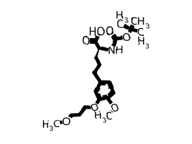 COCCCOc1cc(CCC[C@H](NC(=O)OC(C)(C)C)C(=O)O)ccc1OC